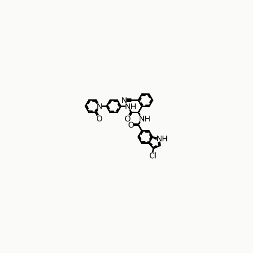 N#Cc1ccccc1C(NC(=O)c1ccc2c(Cl)c[nH]c2c1)C(=O)Nc1ccc(-n2ccccc2=O)cc1